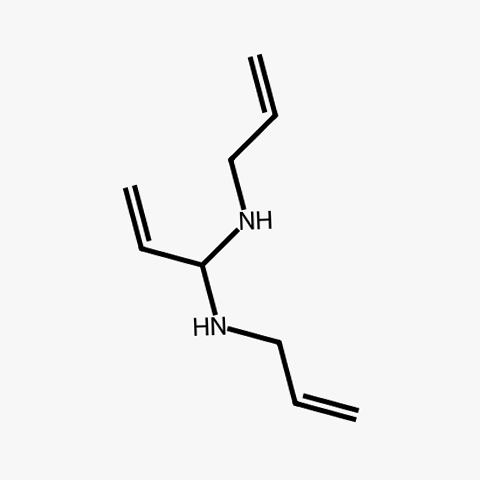 C=CCNC(C=C)NCC=C